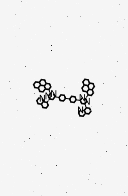 c1cnc2c(-c3cc(-c4ccc(-c5ccc(-c6cc(-c7cccc8cccnc78)nc(-c7ccc8ccc9cccc%10ccc7c8c9%10)n6)cc5)cc4)nc(-c4ccc5ccc6cccc7ccc4c5c67)n3)cccc2c1